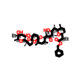 CC[C@@H](C(=O)[C@@H](C)[C@@H](O)[C@H](C)[C@@H]1O[C@@H]([C@@H](CC)C(=O)OCc2ccccc2)CC[C@@H]1C)[C@H]1O[C@]2(C=C[C@@H](O)[C@]3(CC[C@@](C)([C@H]4CC[C@](O)(CC)[C@H](C)O4)O3)O2)[C@H](C)C[C@@H]1C